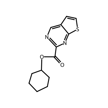 O=C(OC1CCCCC1)c1ncc2ccsc2n1